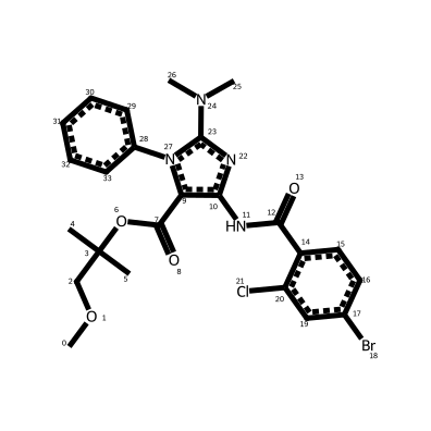 COCC(C)(C)OC(=O)c1c(NC(=O)c2ccc(Br)cc2Cl)nc(N(C)C)n1-c1ccccc1